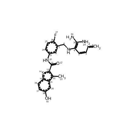 C=C/C=C\C(NCc1cc(NC(=O)c2sc3ccc(O)cc3c2C)ccc1F)=C(N)N